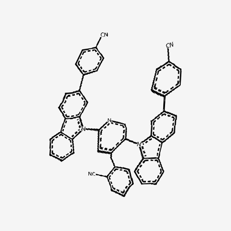 N#Cc1ccc(-c2ccc3c4ccccc4n(-c4cc(-c5ccccc5C#N)c(-n5c6ccccc6c6ccc(-c7ccc(C#N)cc7)cc65)cn4)c3c2)cc1